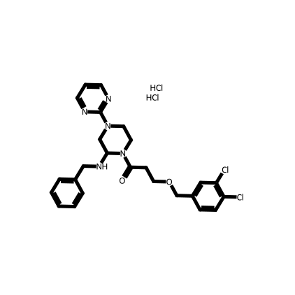 Cl.Cl.O=C(CCOCc1ccc(Cl)c(Cl)c1)N1CCN(c2ncccn2)CC1NCc1ccccc1